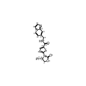 CC(C)[C@@H]1COC(=O)N1c1ncc(C(=O)NCc2ccn3ccnc3c2)s1